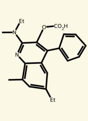 CCc1cc(C)c2nc(N(C)CC)c(OC(=O)O)c(-c3ccccc3)c2c1